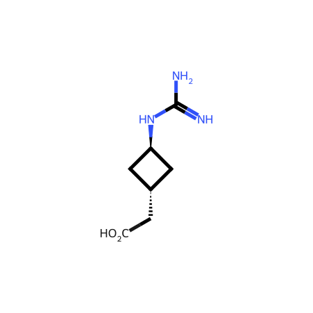 N=C(N)N[C@H]1C[C@H](CC(=O)O)C1